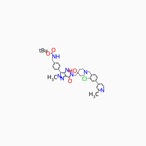 Cc1cc(-c2ccc(CN3CCC(O)(Cn4cnc5c(-c6ccc(CNC(=O)OC(C)(C)C)cc6)n(C)nc5c4=O)CC3)c(Cl)c2)ccn1